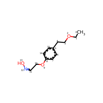 CCOCCc1ccc(OC/C=N\O)cc1